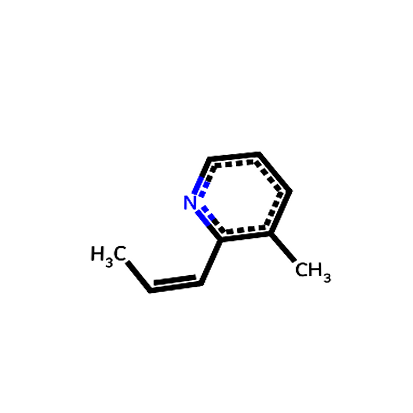 C/C=C\c1ncccc1C